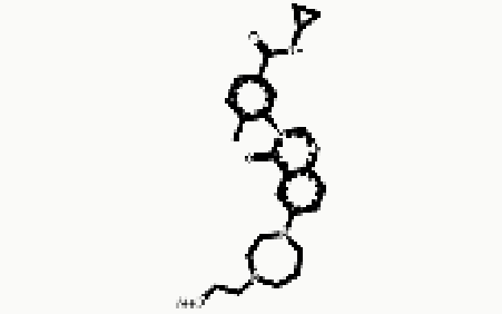 COCCN1CCCN(c2ccc3ncn(-c4cc(C(=O)NC5CC5)ccc4C)c(=O)c3c2)CC1